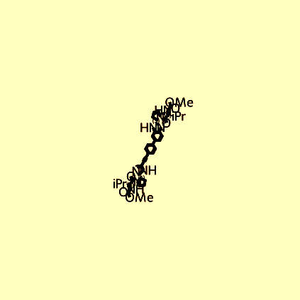 COC(=O)N[C@@H](C(=O)N1CCC[C@H]1c1ncc(C#Cc2ccc(-c3ccc4nc([C@@H]5CCCN5C(=O)[C@H](NC(=O)OC)C(C)C)[nH]c4c3)cc2)[nH]1)C(C)C